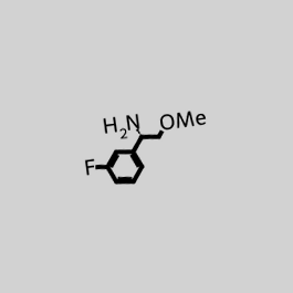 COC[C@@H](N)c1cccc(F)c1